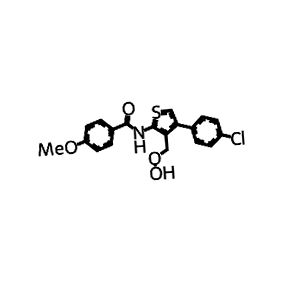 COc1ccc(C(=O)Nc2scc(-c3ccc(Cl)cc3)c2COO)cc1